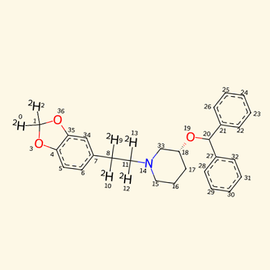 [2H]C1([2H])Oc2ccc(C([2H])([2H])C([2H])([2H])N3CCC[C@@H](OC(c4ccccc4)c4ccccc4)C3)cc2O1